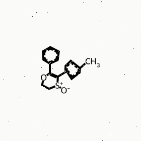 Cc1ccc(C2=C(c3ccccc3)OCC[S+]2[O-])cc1